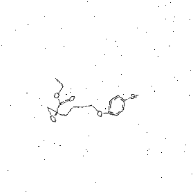 CCOC(=O)C1(CCCCOc2ccc(Br)cc2)CO1